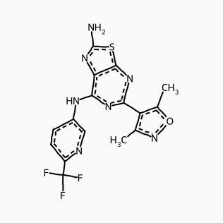 Cc1noc(C)c1-c1nc(Nc2ccc(C(F)(F)F)nc2)c2nc(N)sc2n1